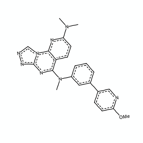 COc1ccc(-c2cccc(N(C)c3nc4nncn4c4nc(N(C)C)ccc34)c2)cn1